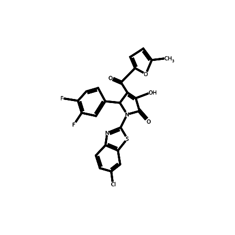 Cc1ccc(C(=O)C2=C(O)C(=O)N(c3nc4ccc(Cl)cc4s3)C2c2ccc(F)c(F)c2)o1